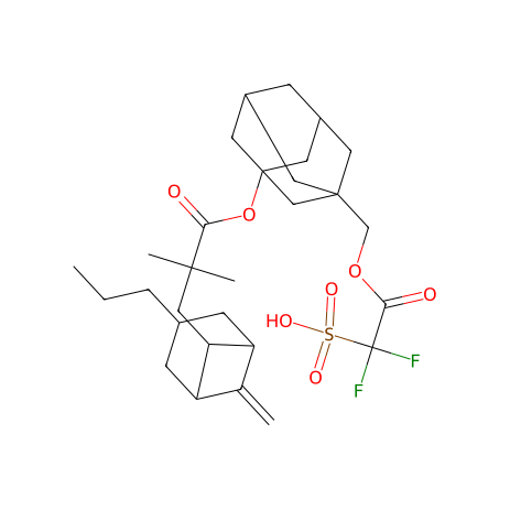 C=C1C2CC(CCC)CC1C2CC(C)(C)C(=O)OC12CC3CC(CC(COC(=O)C(F)(F)S(=O)(=O)O)(C3)C1)C2